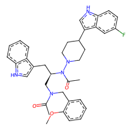 COc1ccccc1CN(C[C@@H](Cc1c[nH]c2ccccc12)N(C(C)=O)N1CCC(c2c[nH]c3ccc(F)cc23)CC1)C(C)=O